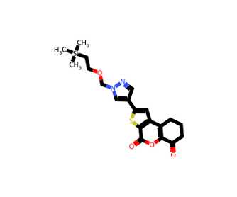 C[Si](C)(C)CCOCn1cc(-c2cc3c4c(oc(=O)c3s2)C(=O)CCC4)cn1